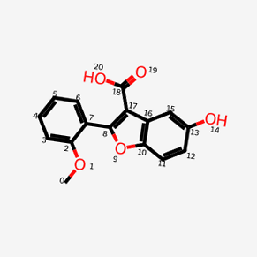 COc1ccccc1-c1oc2ccc(O)cc2c1C(=O)O